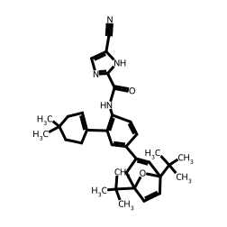 CC1(C)CC=C(c2cc(C3=CC4(C(C)(C)C)C=CC(C(C)(C)C)(C3)O4)ccc2NC(=O)c2ncc(C#N)[nH]2)CC1